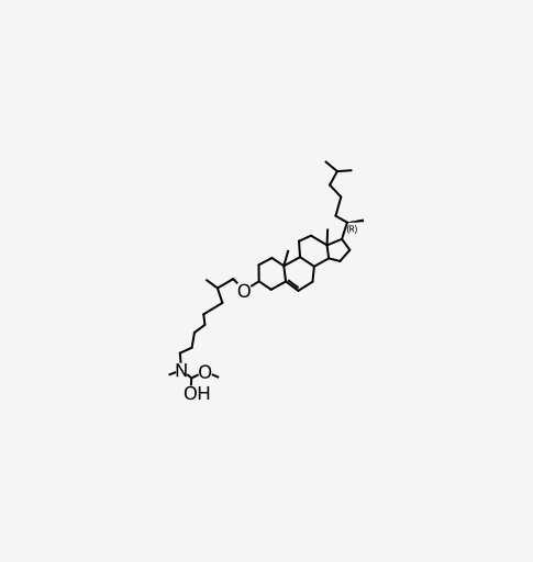 COC(O)N(C)CCCCCCC(C)COC1CCC2(C)C(=CCC3C2CCC2(C)C3CCC2[C@H](C)CCCC(C)C)C1